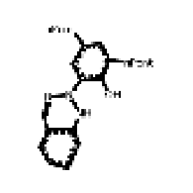 CCCCCc1cc(CCCCC)c(O)c(N2N=Cc3ccccc3N2)c1